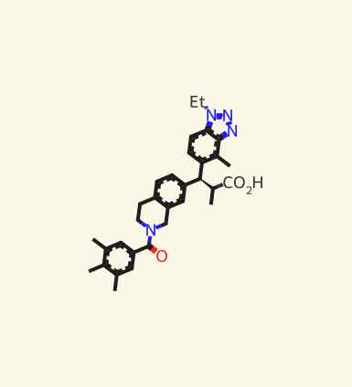 CCn1nnc2c(C)c([C@H](c3ccc4c(c3)CN(C(=O)c3cc(C)c(C)c(C)c3)CC4)C(C)C(=O)O)ccc21